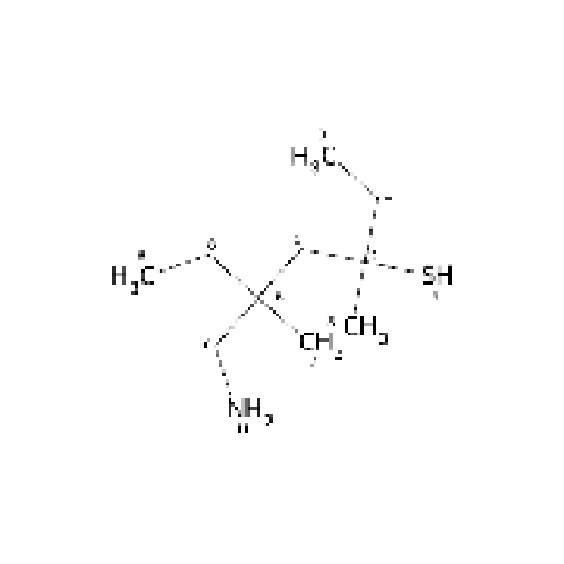 CCC(C)(S)CC(C)(CC)CN